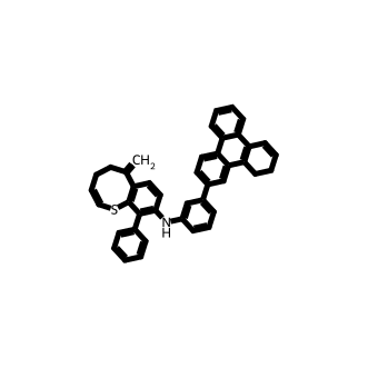 C=C1CC/C=C\Sc2c1ccc(Nc1cccc(-c3ccc4c(c3)c3c(c5ccccc54)C=CCC3)c1)c2-c1ccccc1